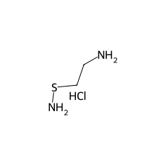 Cl.NCCSN